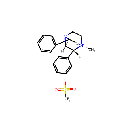 C[N@+]12CC[N@](C[C@H]1c1ccccc1)[C@H](c1ccccc1)C2.O=S(=O)([O-])C(F)(F)F